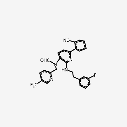 N#Cc1ccccc1-c1ccc(N(C=O)Cc2ccc(C(F)(F)F)cn2)c(NCCc2cccc(F)c2)n1